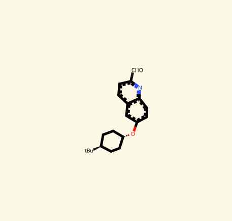 CC(C)(C)[C@H]1CC[C@H](Oc2ccc3nc(C=O)ccc3c2)CC1